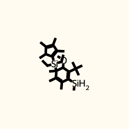 CC[Si](CC)(C1=C(C)C(C)=C(C)C1C)C1(C)C(C)=C(C)C([SiH2]C)=C(C(C)(C)C)C1OC